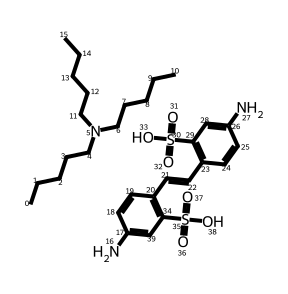 CCCCCN(CCCCC)CCCCC.Nc1ccc(C=Cc2ccc(N)cc2S(=O)(=O)O)c(S(=O)(=O)O)c1